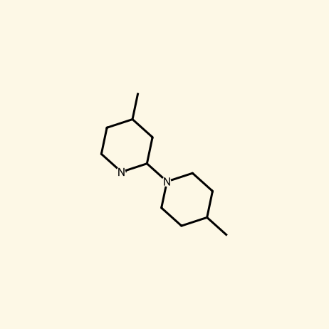 CC1CCN(C2CC(C)CC[N]2)CC1